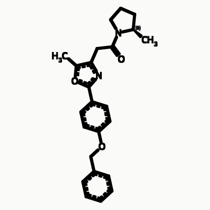 Cc1oc(-c2ccc(OCc3ccccc3)cc2)nc1CC(=O)N1CCC[C@H]1C